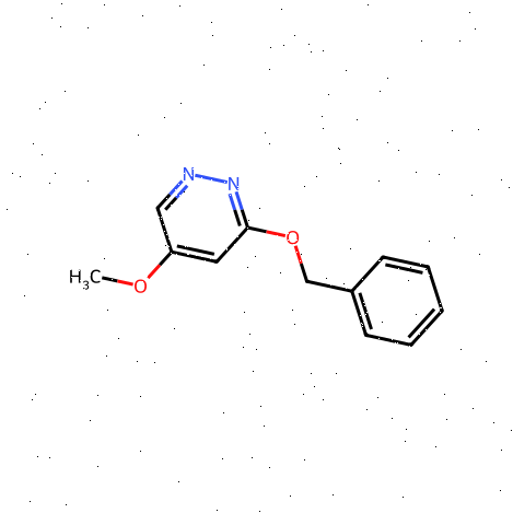 COc1cnnc(OCc2ccccc2)c1